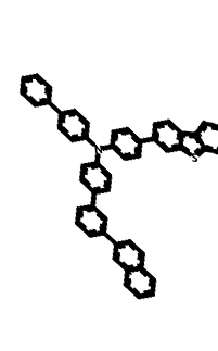 c1ccc(-c2ccc(N(c3ccc(-c4cccc(-c5ccc6ccccc6c5)c4)cc3)c3ccc(-c4ccc5c(c4)sc4ccccc45)cc3)cc2)cc1